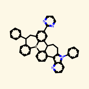 c1ccc(C2Cc3cc(-c4ncccn4)cc4c3B(c3ccccc32)c2cccc3c2C4CCc2c-3c3ncccc3n2-c2ccccc2)cc1